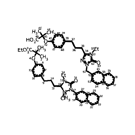 CCOC(=O)C(C)(C)Oc1ccc(CCCC2N(CC)C(=O)N(c3ccc4ccccc4c3)N2C)cc1.CCn1c(CCCc2ccc(OC(C)(C)C(=O)O)cc2)nn(Cc2ccc3ccccc3c2)c1=O